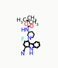 CC(C)(C)OC(=O)N[C@H]1CCCN(c2c(F)cc(C#N)c3[nH]c4ccccc4c23)C1